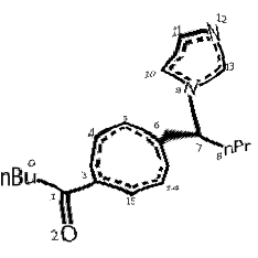 CCCCC(=O)c1ccc(C(CCC)n2ccnc2)cc1